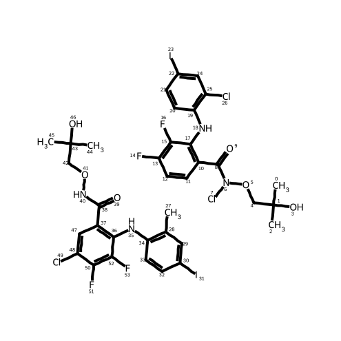 CC(C)(O)CON(Cl)C(=O)c1ccc(F)c(F)c1Nc1ccc(I)cc1Cl.Cc1cc(I)ccc1Nc1c(C(=O)NOCC(C)(C)O)cc(Cl)c(F)c1F